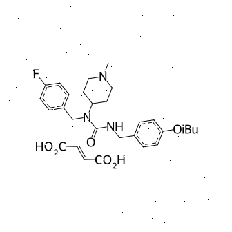 CC(C)COc1ccc(CNC(=O)N(Cc2ccc(F)cc2)C2CCN(C)CC2)cc1.O=C(O)/C=C/C(=O)O